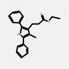 CCOC(=O)CCc1c(-c2ccccc2)[nH]c(-c2ccccc2)c1I